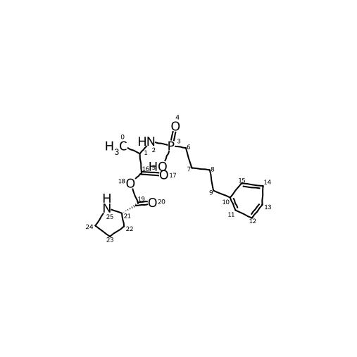 CC(NP(=O)(O)CCCCc1ccccc1)C(=O)OC(=O)[C@@H]1CCCN1